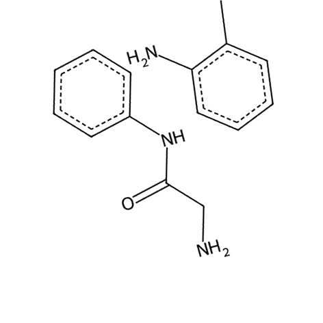 Cc1ccccc1N.NCC(=O)Nc1ccccc1